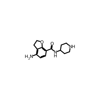 Nc1ccc(C(=O)NC2CCNCC2)c2c1CCO2